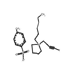 CCCCCC[N+]1(CC#CI)CCCC1.Cc1ccc(S(=O)(=O)[O-])cc1